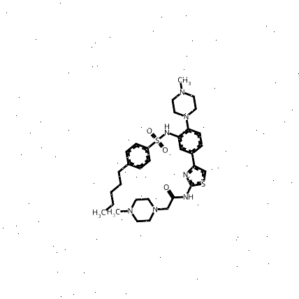 CCCCCc1ccc(S(=O)(=O)Nc2cc(-c3csc(NC(=O)CN4CCN(C)CC4)n3)ccc2N2CCN(C)CC2)cc1